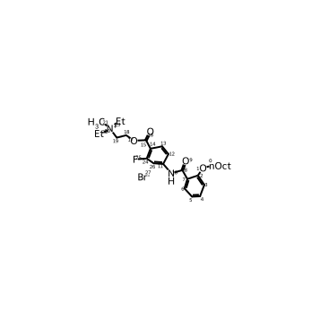 CCCCCCCCOc1ccccc1C(=O)Nc1ccc(C(=O)OCC[N+](C)(CC)CC)c(F)c1.[Br-]